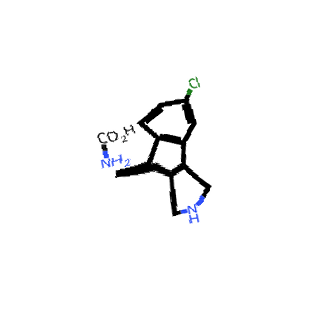 C=C1c2ccc(Cl)cc2C2CNCC12.NC(=O)O